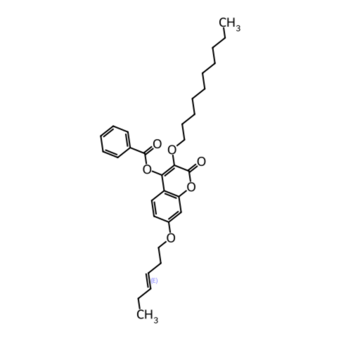 CC/C=C/CCOc1ccc2c(OC(=O)c3ccccc3)c(OCCCCCCCCCC)c(=O)oc2c1